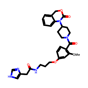 COc1cc(OCCCNC(=O)Cc2c[nH]cn2)ccc1C(=O)N1CCC(N2C(=O)OCc3ccccc32)CC1